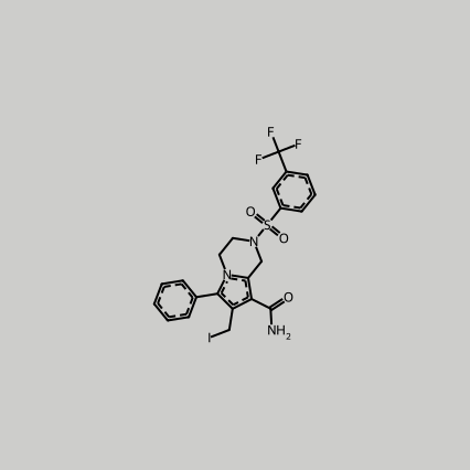 NC(=O)c1c(CI)c(-c2ccccc2)n2c1CN(S(=O)(=O)c1cccc(C(F)(F)F)c1)CC2